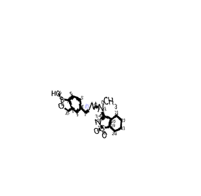 CN(/N=C/c1ccc2c(c1)COB2O)C1=NS(=O)(=O)C2=C1CCCC2